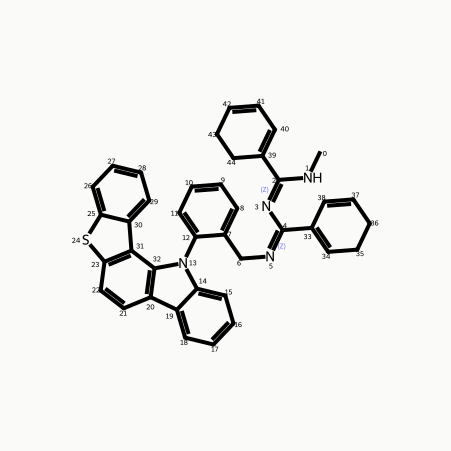 CN/C(=N\C(=N/Cc1ccccc1-n1c2ccccc2c2ccc3sc4ccccc4c3c21)C1=CCCC=C1)C1=CC=CCC1